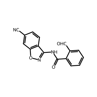 N#Cc1ccc2c(NC(=O)c3ccccc3C=O)noc2c1